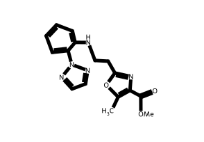 COC(=O)c1nc(CCNc2ccccc2-n2nccn2)oc1C